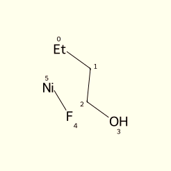 CCCCO.[F][Ni]